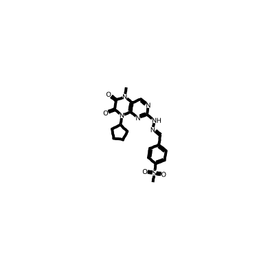 Cn1c(=O)c(=O)n(C2CCCC2)c2nc(NN=Cc3ccc(S(C)(=O)=O)cc3)ncc21